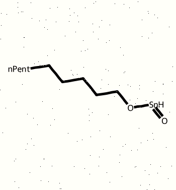 CCCCCCCCCC[O][SnH]=[O]